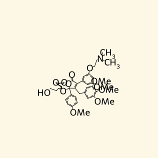 COc1ccc(C2(OS(=O)(=O)CCO)OC(=O)C(c3cc(OC)cc(OCCN(C)C)c3)=C2Cc2cc(OC)c(OC)c(OC)c2)cc1